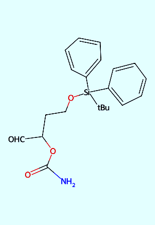 CC(C)(C)[Si](OCCC(C=O)OC(N)=O)(c1ccccc1)c1ccccc1